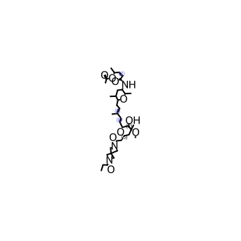 CCC(=O)N1CC2(C1)CN(C(=O)C[C@@H]1CC(C)(OC)[C@H](O)C(/C=C/C(C)=C/CC3OC(C)C(NC(=O)/C=C\C(C)OC(C)=O)CC3C)O1)C2